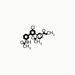 C=CC(=O)N1CCN(C(C)=O)[C@@H](c2cc(Cl)cc(-c3cccc(NC(C)=O)c3)c2)C1